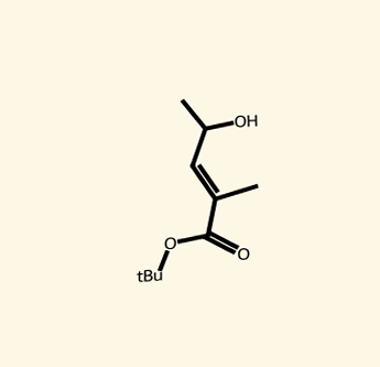 CC(=CC(C)O)C(=O)OC(C)(C)C